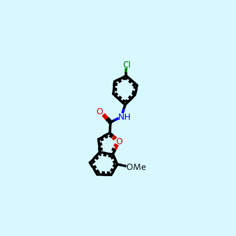 COc1cccc2cc(C(=O)Nc3ccc(Cl)cc3)oc12